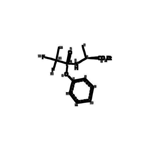 CCOC(=O)[C@H](C)NP(=O)(Oc1ccccc1)C(C)(F)F